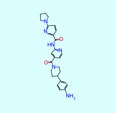 Nc1ccc(C2CCN(C(=O)c3ccnc(NC(=O)c4ccc(N5CCCC5)nc4)c3)CC2)cc1